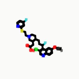 COc1ccc2ncc(Cl)c(C(F)CCC3CCN(CCSc4cc(F)ccn4)CC3CC(=O)O)c2c1